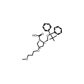 COCCCO[C@@H]1C[C@H](CO[Si](c2ccccc2)(c2ccccc2)C(C)(C)C)N(C(=O)O)C1